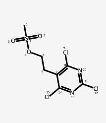 CS(=O)(=O)OCCc1c(Cl)nc(Cl)nc1Cl